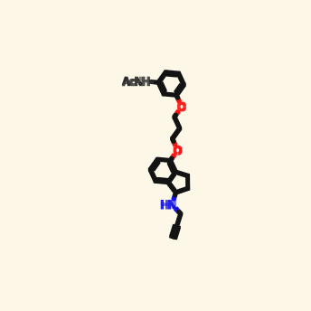 C#CCNC1CCc2c(OCCCOc3cccc(NC(C)=O)c3)cccc21